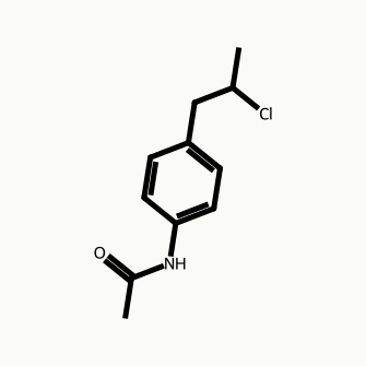 CC(=O)Nc1ccc(CC(C)Cl)cc1